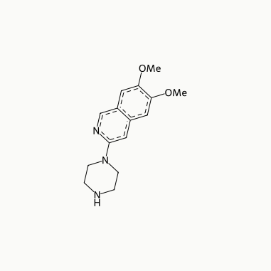 COc1cc2cnc(N3CCNCC3)cc2cc1OC